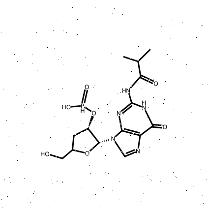 CC(C)C(=O)Nc1nc2c(ncn2[C@@H]2OC(CO)C[C@H]2O[PH](=O)O)c(=O)[nH]1